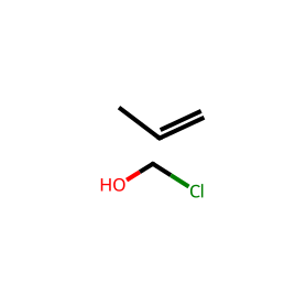 C=CC.OCCl